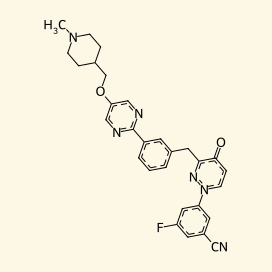 CN1CCC(COc2cnc(-c3cccc(Cc4nn(-c5cc(F)cc(C#N)c5)ccc4=O)c3)nc2)CC1